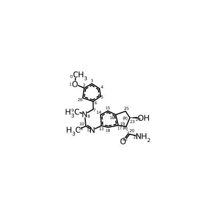 COc1cccc(CN(C)C(C)=Nc2ccc3c(c2)[C@@H](C(N)=O)[C@H](O)C3)c1